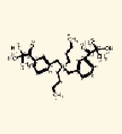 CCCC[N+](CCCC)(Cc1cccc(C(=O)C(C)(C)O)c1)Cc1cccc(C(=O)C(C)(C)O)c1